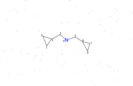 C1CC1C[N]CC1CC1